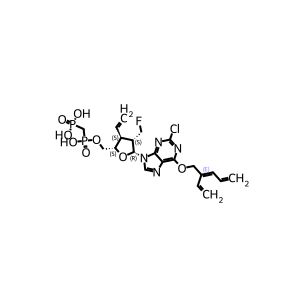 C=C/C=C(\C=C)COc1nc(Cl)nc2c1ncn2[C@@H]1O[C@H](COP(=O)(O)CP(=O)(O)O)[C@@H](C=C)[C@@H]1CF